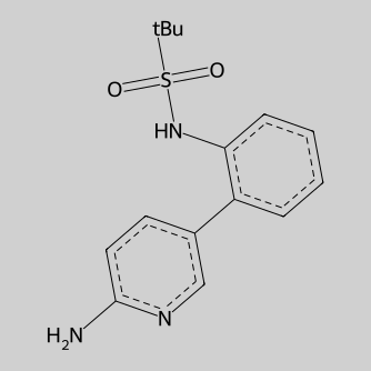 CC(C)(C)S(=O)(=O)Nc1ccccc1-c1ccc(N)nc1